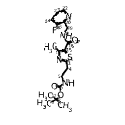 Cc1nc(CCNC(=O)OC(C)(C)C)sc1C(=O)NCc1ncccc1F